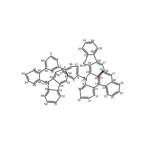 c1cc(-c2ccc(N(c3ccccc3-c3cccc4ccccc34)c3cccc4c3sc3ccccc34)cc2)cc(-c2ccccc2-n2c3ccccc3c3ccccc32)c1